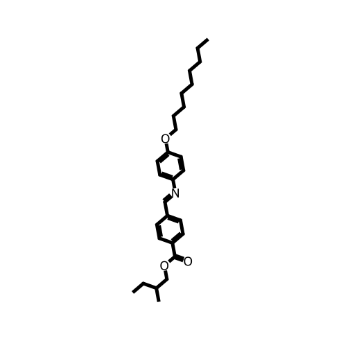 CCCCCCCCCOc1ccc(N=Cc2ccc(C(=O)OCC(C)CC)cc2)cc1